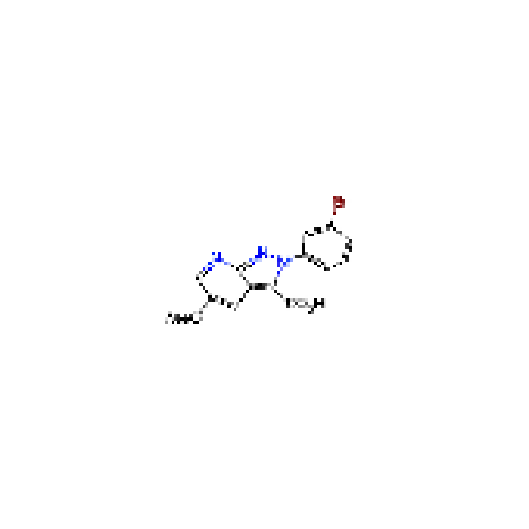 COc1cnc2nn(-c3cccc(Br)c3)c(C(=O)O)c2c1